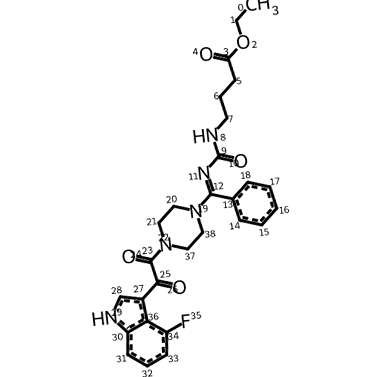 CCOC(=O)CCCNC(=O)/N=C(\c1ccccc1)N1CCN(C(=O)C(=O)c2c[nH]c3cccc(F)c23)CC1